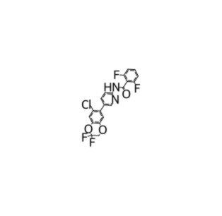 O=C(Nc1ccc(-c2cc3c(cc2Cl)OC(F)(F)CO3)cn1)c1c(F)cccc1F